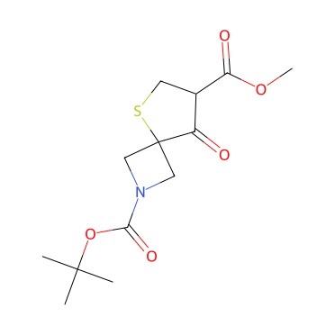 COC(=O)C1CSC2(CN(C(=O)OC(C)(C)C)C2)C1=O